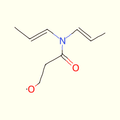 CC=CN(C=CC)C(=O)CC[O]